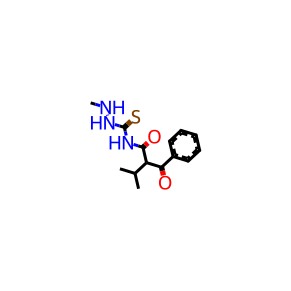 CNNC(=S)NC(=O)C(C(=O)c1ccccc1)C(C)C